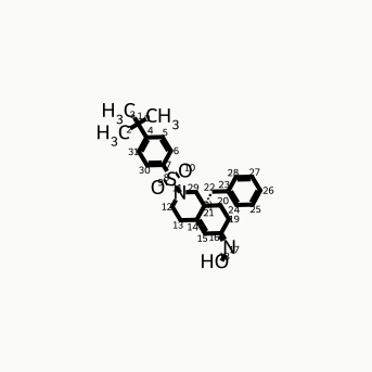 CC(C)(C)c1ccc(S(=O)(=O)N2CCC3=CC(=NO)CC[C@]3(Cc3ccccc3)C2)cc1